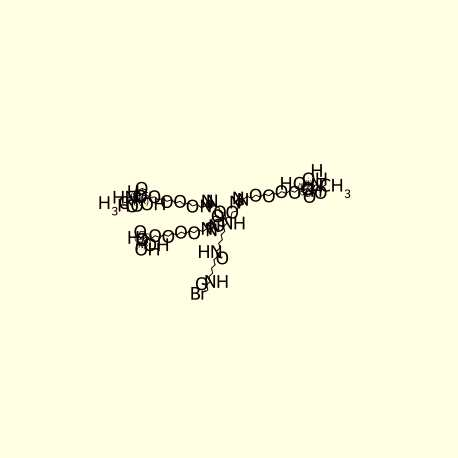 CC(=O)N[C@H]1[C@H]2OC[C@](COCCOCCOCCOCCn3cc(COCC(COCc4cn(CCOCCOCCOCCOC[C@@]56CO[C@@H](O5)[C@H](NC(C)=O)[C@@H](O)[C@H]6O)nn4)(COCc4cn(CCOCCOCCOCCOC[C@]56CO[C@H](C[C@@H](O)[C@H]5O)O6)nn4)NC(=O)CCCCCNC(=O)CCCCCNC(=O)CBr)nn3)(O2)[C@H](O)[C@@H]1O